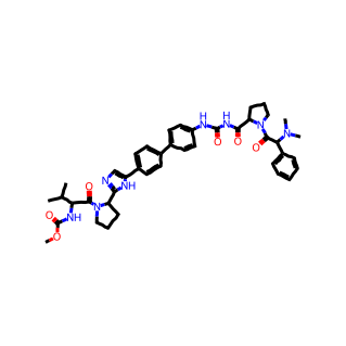 COC(=O)NC(C(=O)N1CCCC1c1ncc(-c2ccc(-c3ccc(NC(=O)NC(=O)C4CCCN4C(=O)C(c4ccccc4)N(C)C)cc3)cc2)[nH]1)C(C)C